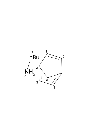 C1=CC2=CC=C1C2.CCCCN